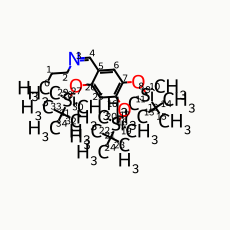 CCC/N=C\c1cc(O[Si](C)(C)C(C)(C)C)c(O[Si](C)(C)C(C)(C)C)cc1O[Si](C)(C)C(C)(C)C